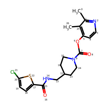 Cc1nccc(OC(=O)N2CCC(CNC(=O)c3ccc(Cl)s3)CC2)c1C